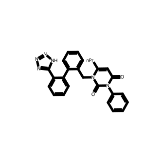 CCCc1cc(=O)n(-c2ccccc2)c(=O)n1Cc1ccccc1-c1ccccc1-c1nnn[nH]1